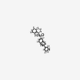 O=C(N[C@H]1CCCc2ccccc21)c1ccc2nc(-c3cccnc3)sc2c1